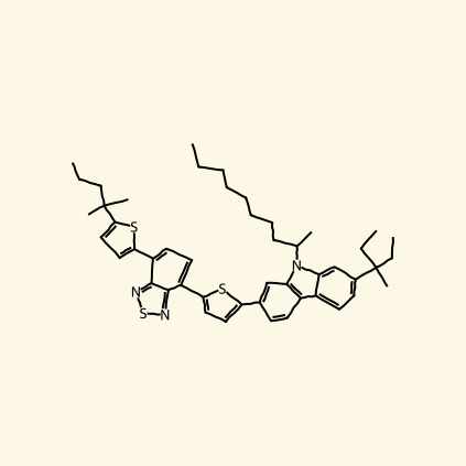 CCCCCCCCC(C)n1c2cc(-c3ccc(-c4ccc(-c5ccc(C(C)(C)CCC)s5)c5nsnc45)s3)ccc2c2ccc(C(C)(CC)CC)cc21